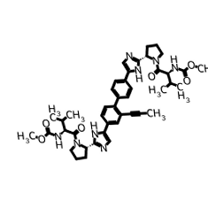 CC#Cc1cc(-c2cnc([C@@H]3CCCN3C(=O)[C@@H](NC(=O)OC)C(C)C)[nH]2)ccc1-c1ccc(-c2cnc([C@@H]3CCCN3C(=O)[C@@H](NC(=O)OC)C(C)C)[nH]2)cc1